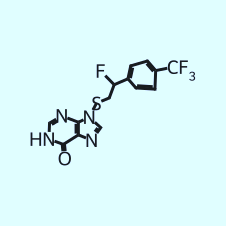 O=c1[nH]cnc2c1ncn2SCC(F)c1ccc(C(F)(F)F)cc1